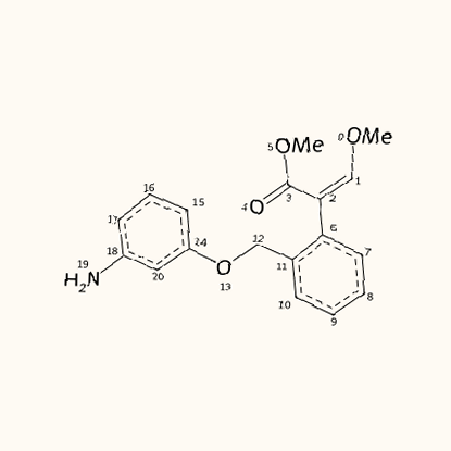 COC=C(C(=O)OC)c1ccccc1COc1cccc(N)c1